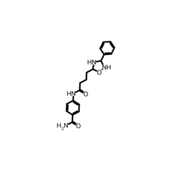 NC(=O)c1ccc(NC(=O)CCCC2NC(c3ccccc3)NO2)cc1